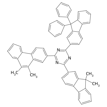 Cc1c(C)c2cc(-c3nc(-c4ccc5c(c4)C(C)(C)c4ccccc4-5)nc(-c4ccc5c(c4)C(c4ccccc4)(c4ccccc4)c4ccccc4-5)n3)ccc2c2ccccc12